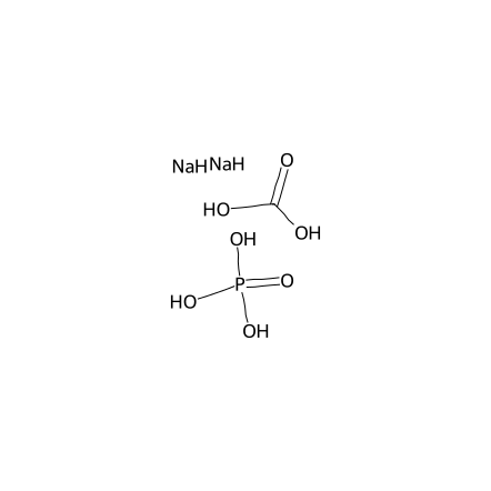 O=C(O)O.O=P(O)(O)O.[NaH].[NaH]